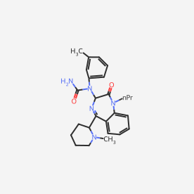 CCCN1C(=O)C(N(C(N)=O)c2cccc(C)c2)N=C(C2CCCCN2C)c2ccccc21